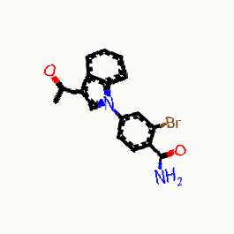 CC(=O)c1cn(-c2ccc(C(N)=O)c(Br)c2)c2ccccc12